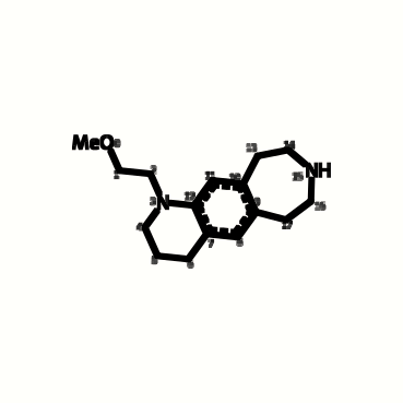 COCCN1CCCc2cc3c(cc21)CCNCC3